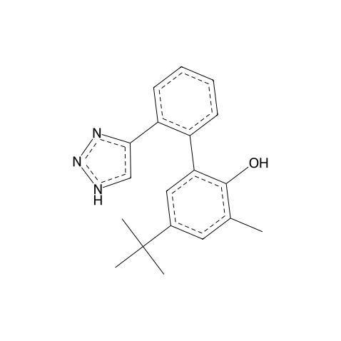 Cc1cc(C(C)(C)C)cc(-c2ccccc2-c2c[nH]nn2)c1O